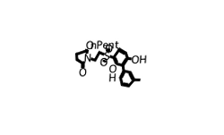 CCCCCc1cc(O)c(-c2cccc(C)c2)c(O)c1S(=O)(=O)CCN1C(=O)CCC1=O